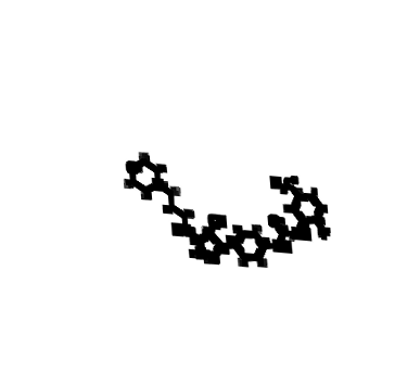 Cc1ccc(F)c(NC(=O)Nc2ccc(-c3snc(NCCCN4CCOCC4)c3C#N)cc2)c1